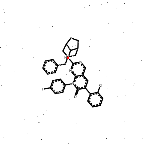 O=c1c(-c2ccccc2Cl)cc2cnc(NC3C4CCC3CN(Cc3ccccc3)C4)nc2n1-c1ccc(F)cc1